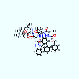 CC(C)C[C@H](NC(=O)[C@H](CC(=O)NC(c1ccccc1)(c1ccccc1)c1ccccc1)NC(=O)[C@H](C)NC(=O)[C@H](C)NC(=O)OCc1ccccc1)C(=O)OC(C)(C)C